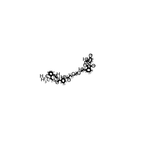 CC1=CSC(NC(=O)c2cccc(NC(=O)CCOCCOCCNc3cccc4c3C(=O)N(C3CCC(=O)NC3=O)C4=O)c2)=Nc2cccc(C)c21